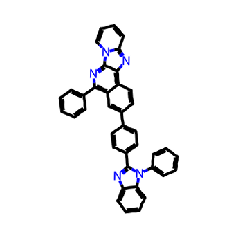 c1ccc(-c2nc3c(nc4ccccn43)c3ccc(-c4ccc(-c5nc6ccccc6n5-c5ccccc5)cc4)cc23)cc1